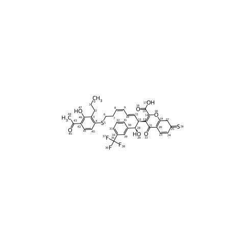 CCCc1c(SCC/C=C\C=C\[C@@H](c2c(C(=O)O)oc3c(c2=O)C=CC(=S)C3)[C@@H](O)c2cccc(C(F)(F)F)c2)ccc(C(C)=O)c1O